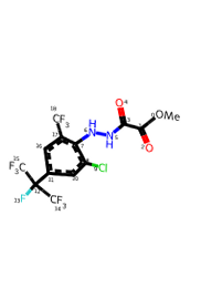 COC(=O)C(=O)NNc1c(Cl)cc(C(F)(C(F)(F)F)C(F)(F)F)cc1C(F)(F)F